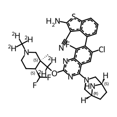 [2H]C([2H])([2H])N1CC[C@H](C(F)F)[C@](C)(C([2H])([2H])Oc2nc(N3C[C@H]4CC[C@@H](C3)N4)c3cc(Cl)c(-c4cccc5sc(N)c(C#N)c45)c(F)c3n2)C1